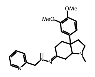 COc1ccc(C23CCC(=NNCc4ccccn4)CC2N(C)CC3)cc1OC